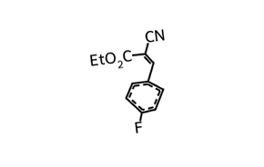 CCOC(=O)/C(C#N)=C\c1ccc(F)cc1